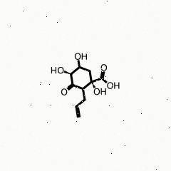 C=CCC1C(=O)[C@@H](O)C(O)C[C@]1(O)C(=O)O